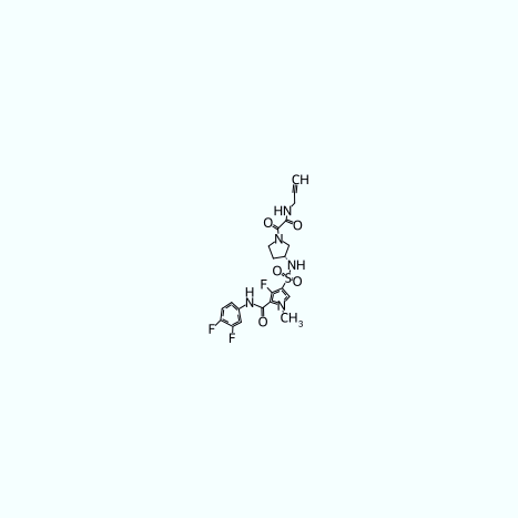 C#CCNC(=O)C(=O)N1CC[C@@H](NS(=O)(=O)c2cn(C)c(C(=O)Nc3ccc(F)c(F)c3)c2F)C1